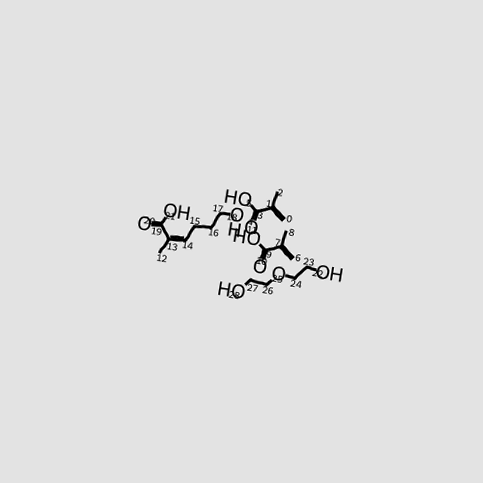 C=C(C)C(=O)O.C=C(C)C(=O)O.CC(=CCCCO)C(=O)O.OCCOCCO